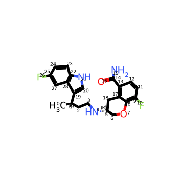 C[C@H](CCN[C@H]1COc2c(F)ccc(C(N)=O)c2C1)c1c[nH]c2ccc(F)cc12